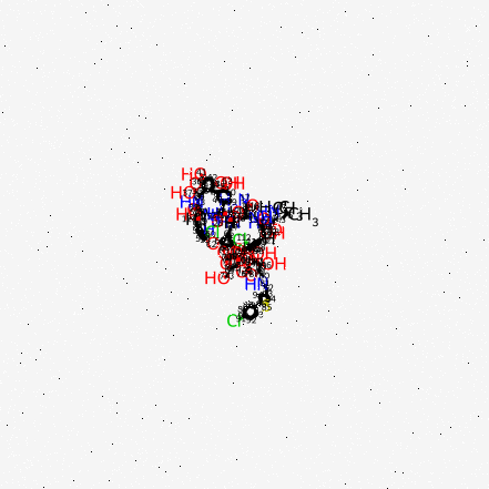 CN[C@H](CC(C)C)C(=O)N[C@H]1C(=O)N[C@@H](CC(N)=O)C(=O)N[C@H]2C(=O)N[C@H]3C(=O)N[C@H](C(=O)N[C@@H](C(=O)O)c4cc(O)cc(O)c4-c4cc3ccc4O)[C@H](O)c3ccc(c(Cl)c3)Oc3cc2cc(c3O[C@@H]2O[C@H](CO)[C@@H](O[C@@H]3O[C@H](CNCc4csc(-c5ccc(Cl)cc5)c4)[C@H](O)[C@H](O)[C@H]3O)[C@H](O)[C@H]2O)Oc2ccc(cc2Cl)[C@H]1O